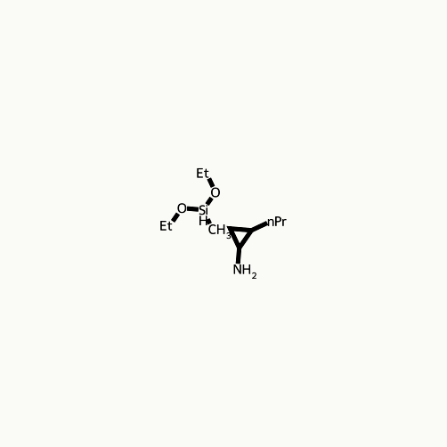 CCCC1CC1N.CCO[SiH](C)OCC